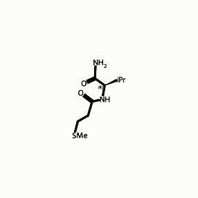 CSCCC(=O)N[C@@H](C(N)=O)C(C)C